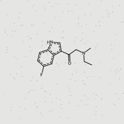 CCN(C)CC(=O)c1c[nH]c2ccc(F)cc12